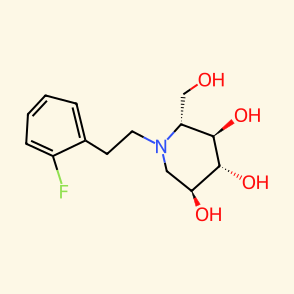 OC[C@@H]1[C@@H](O)[C@H](O)[C@@H](O)CN1CCc1ccccc1F